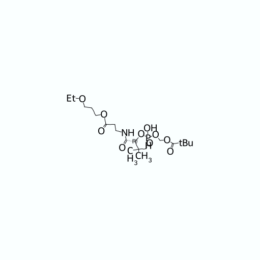 CCOCCCOC(=O)CCNC(=O)[C@@H]1O[PH](O)(OCOC(=O)C(C)(C)C)OCC1(C)C